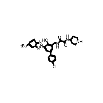 CC(C)(C)c1ccc2nn(-c3cc(-c4ccc(Cl)cc4)cc(CNC(=O)C(=O)NC4CCNCC4)c3O)nc2c1